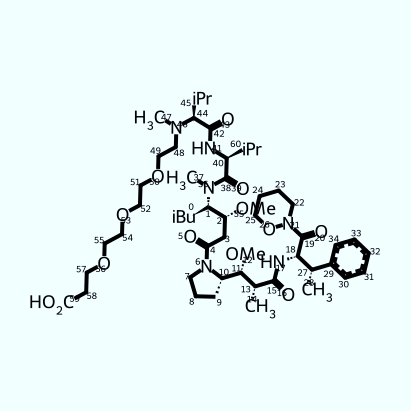 CC[C@H](C)[C@@H]([C@@H](CC(=O)N1CCC[C@H]1[C@H](OC)[C@@H](C)C(=O)N[C@H](C(=O)N1CCCCO1)[C@@H](C)c1ccccc1)OC)N(C)C(=O)[C@@H](NC(=O)[C@H](C(C)C)N(C)CCOCCOCCOCCC(=O)O)C(C)C